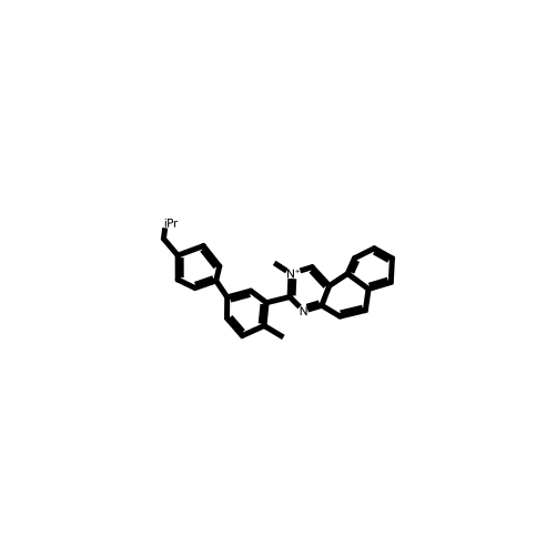 Cc1ccc(-c2ccc(CC(C)C)cc2)cc1-c1nc2ccc3ccccc3c2c[n+]1C